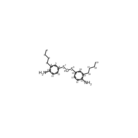 CCCCc1cc(SOSc2ccc(N)c(CCCC)c2)ccc1N